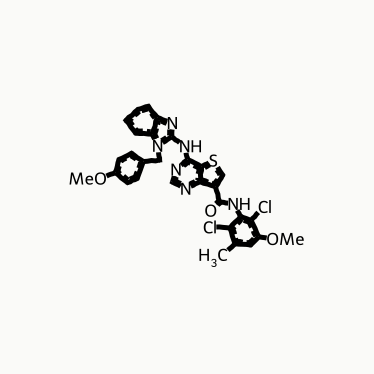 COc1ccc(Cn2c(Nc3ncnc4c(C(=O)Nc5c(Cl)c(C)cc(OC)c5Cl)csc34)nc3ccccc32)cc1